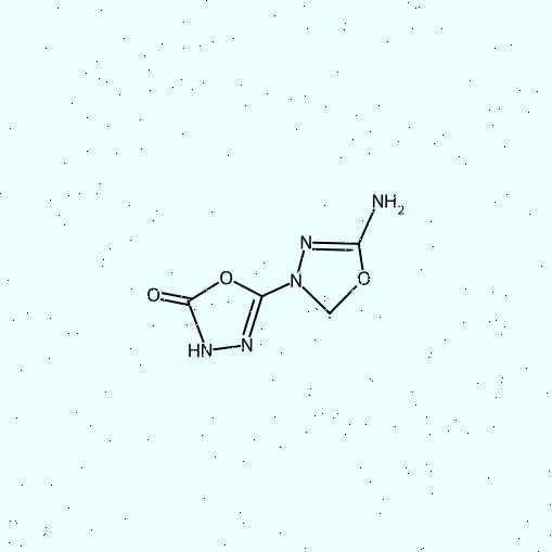 NC1=NN(c2n[nH]c(=O)o2)[CH]O1